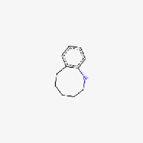 c1ccc2c(c1)CCCCC[N]2